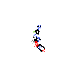 Cc1c(Nc2ccc(-n3cncn3)cc2F)ncnc1OC1CC2COCC(C1)N2C(=O)OC(C)C